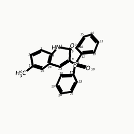 Cc1ccc2[nH]c(=O)c(P(=O)(c3ccccc3)c3ccccc3)cc2c1